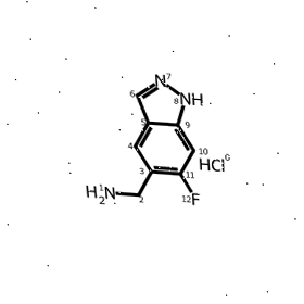 Cl.NCc1cc2cn[nH]c2cc1F